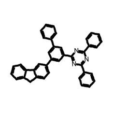 c1ccc(-c2cc(-c3ccc4c(c3)-c3ccccc3C4)cc(-c3nc(-c4ccccc4)nc(-c4ccccc4)n3)c2)cc1